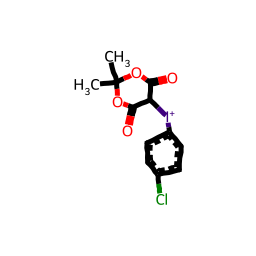 CC1(C)OC(=O)C([I+]c2ccc(Cl)cc2)C(=O)O1